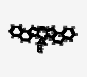 CCC1=Cc2c(ccc3ccccc23)[CH]1[Zr+2]1([CH]2C(CC)=Cc3c2ccc2ccccc32)[CH2][CH2]1.[Cl-].[Cl-]